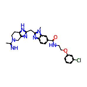 CC(=N)N1CCc2[nH]c(Cc3nc4ccc(C(=O)NCCOc5cccc(Cl)c5)cc4n3C)nc2C1